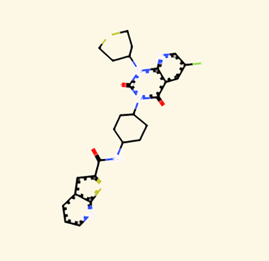 O=C(NC1CCC(n2c(=O)c3cc(F)cnc3n(C3CCSCC3)c2=O)CC1)c1cc2cccnc2s1